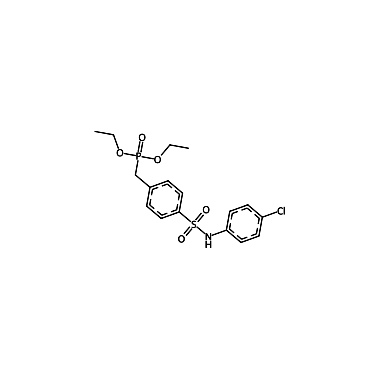 CCOP(=O)(Cc1ccc(S(=O)(=O)Nc2ccc(Cl)cc2)cc1)OCC